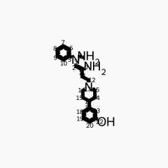 N/C(=C\N(N)c1ccccc1)CCN1CCC(c2cccc(O)c2)CC1